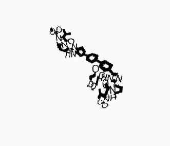 COCCOc1c(-c2ccc(-c3ccc4nc([C@@H]5CCCN5C(=O)[C@@H](NC(=O)OC)C(C)C)[nH]c4c3)cc2)ccc(-c2cnc([C@@H]3CCCN3C(=O)[C@@H](NC(=O)OC)C(C)C)[nH]2)c1OCCOC